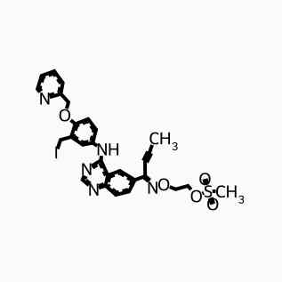 CC#C/C(=N\OCCOS(C)(=O)=O)c1ccc2ncnc(Nc3ccc(OCc4ccccn4)c(CI)c3)c2c1